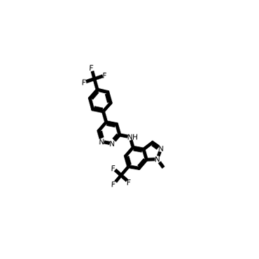 Cn1ncc2c(Nc3cc(-c4ccc(C(F)(F)F)cc4)cnn3)cc(C(F)(F)F)cc21